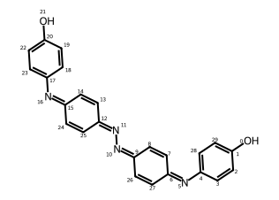 Oc1ccc(N=C2C=CC(=NN=C3C=CC(=Nc4ccc(O)cc4)C=C3)C=C2)cc1